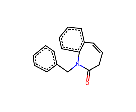 O=C1CC=Cc2ccccc2N1Cc1ccccc1